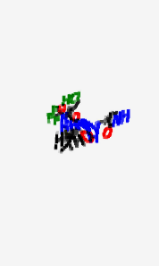 CC[C@@H](C)[C@H](NC(=O)C(F)(F)F)C(=O)N1C[C@H]2[C@@H]([C@H]1C(=O)NNC[C@@H]1CCNC1=O)C2(C)C.Cl